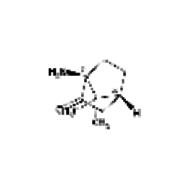 CC1(C)[C@@H]2CC[C@@]1(N)C(=O)C2